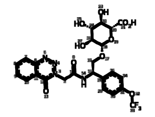 O=C(Cn1nnc2ccccc2c1=O)N[C@@H](CO[C@H]1O[C@@H](C(=O)O)[C@H](O)[C@@H](O)[C@@H]1O)c1ccc(OC(F)(F)F)cc1